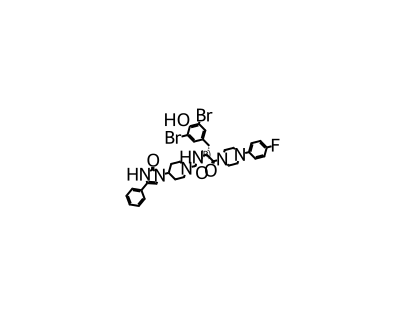 O=C(N[C@H](Cc1cc(Br)c(O)c(Br)c1)C(=O)N1CCN(c2ccc(F)cc2)CC1)N1CCC(n2cc(-c3ccccc3)[nH]c2=O)CC1